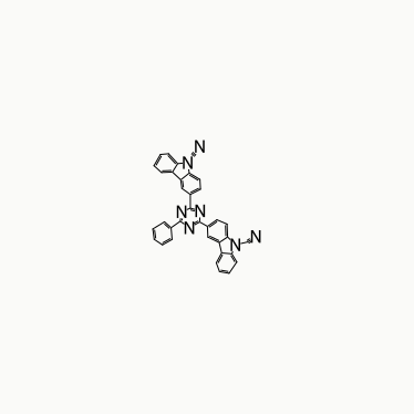 N#Cn1c2ccccc2c2cc(-c3nc(-c4ccccc4)nc(-c4ccc5c(c4)c4ccccc4n5C#N)n3)ccc21